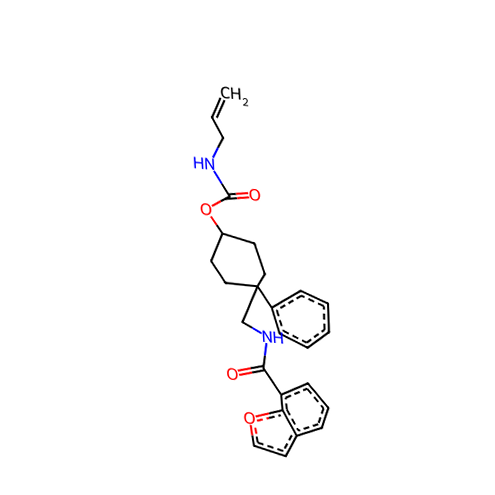 C=CCNC(=O)OC1CCC(CNC(=O)c2cccc3ccoc23)(c2ccccc2)CC1